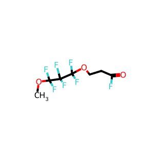 COC(F)(F)C(F)(F)C(F)(F)OCCC(=O)F